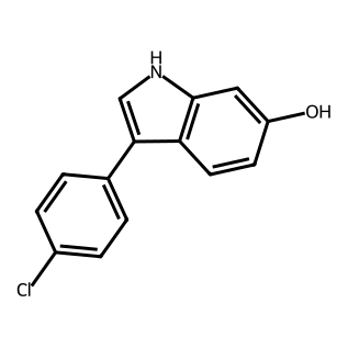 Oc1ccc2c(-c3ccc(Cl)cc3)c[nH]c2c1